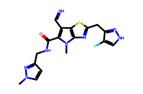 Cn1ccc(CNC(=O)c2c(C=N)c3sc(Cc4n[nH]cc4F)nc3n2C)n1